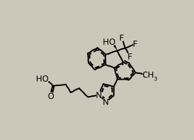 Cc1cc(-c2cnn(CCCCC(=O)O)c2)c2c(c1)[C@@](O)(C(F)(F)F)c1ccccc1-2